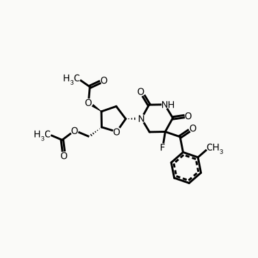 CC(=O)OC[C@H]1O[C@@H](N2CC(F)(C(=O)c3ccccc3C)C(=O)NC2=O)C[C@@H]1OC(C)=O